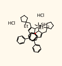 CCC1(CC2=Cc3c(-c4ccccc4)cccc3[CH]2[Zr]([CH3])([CH3])(=[SiH2])[CH]2C(CC3(CC)CCCC3)=Cc3c(-c4ccccc4)cccc32)CCCC1.Cl.Cl